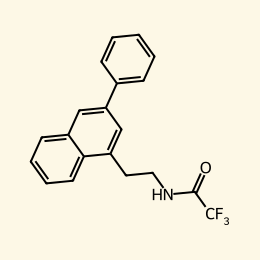 O=C(NCCc1cc(-c2ccccc2)cc2ccccc12)C(F)(F)F